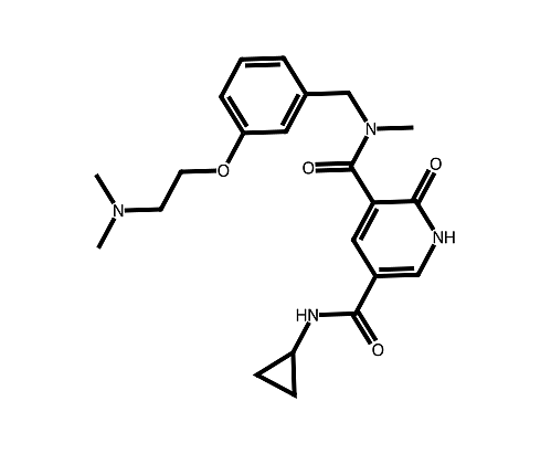 CN(C)CCOc1cccc(CN(C)C(=O)c2cc(C(=O)NC3CC3)c[nH]c2=O)c1